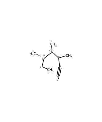 CC[C@H](C)N(C)C(C)C#N